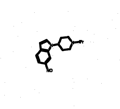 CC(C)N1CCC(n2ccc3ccc(N=O)cc32)CC1